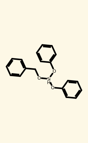 c1ccc(CO[SiH](Oc2ccccc2)Oc2ccccc2)cc1